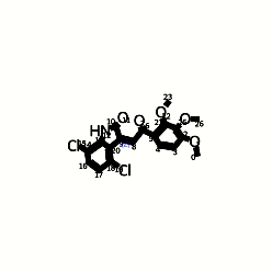 COc1ccc(C(=O)/C=C2\C(=O)Nc3c(Cl)ccc(Cl)c32)c(OC)c1OC